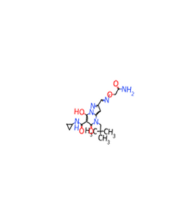 CC(C)(C)Cn1c(=O)c(C(=O)NC2CC2)c(O)n2nc(/C=N/OCC(N)=O)cc12